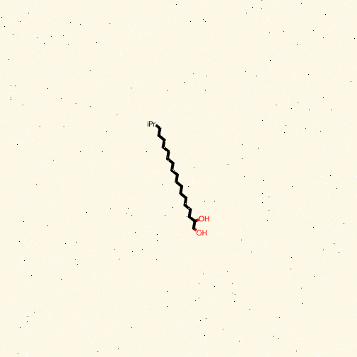 CC(C)CCCCCCCCCCCCCCC[CH]C(O)CO